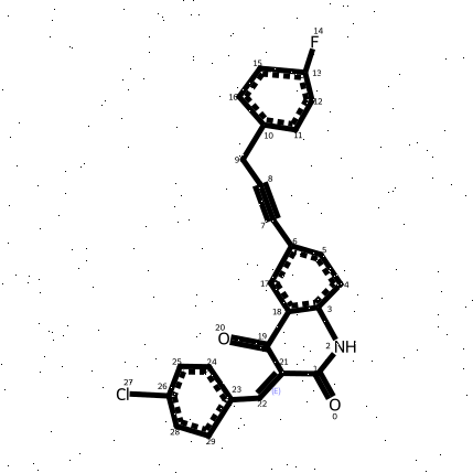 O=C1Nc2ccc(C#CCc3ccc(F)cc3)cc2C(=O)/C1=C\c1ccc(Cl)cc1